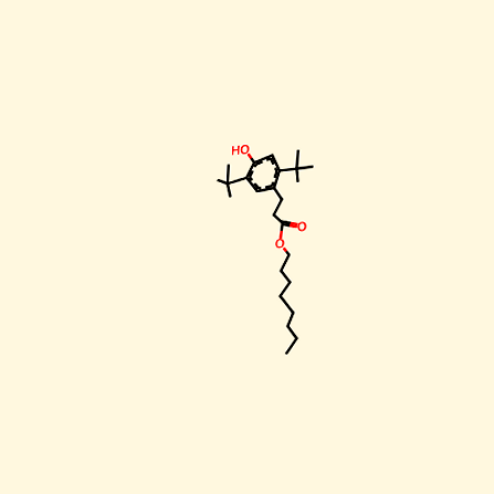 CCCCCCCCOC(=O)CCc1cc(C(C)(C)C)c(O)cc1C(C)(C)C